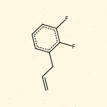 C=CCc1cc[c]c(F)c1F